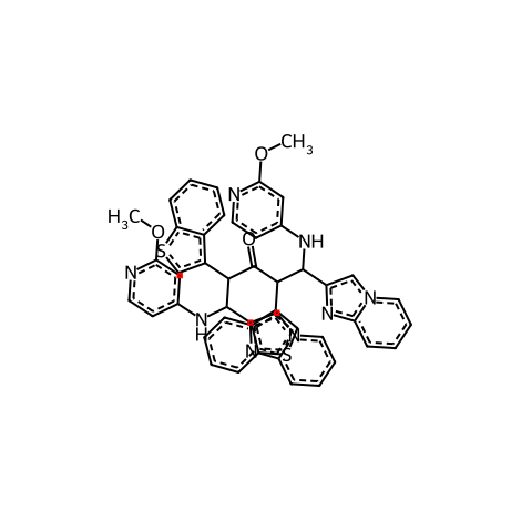 COc1cc(NC(c2cn3ccccc3n2)C(C(=O)C(c2csc3ccccc23)C(Nc2ccnc(OC)c2)c2cn3ccccc3n2)c2csc3ccccc23)ccn1